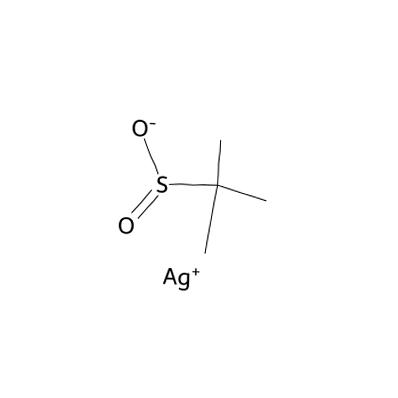 CC(C)(C)S(=O)[O-].[Ag+]